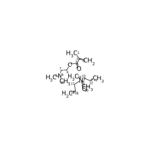 C=C(C)C(=O)OCCN(C)C.C=CC[N+](C)(C)CC=C.[Cl-]